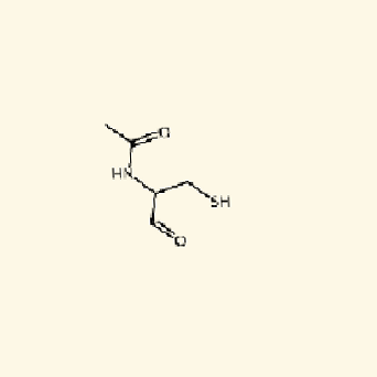 CC(=O)NC(C=O)CS